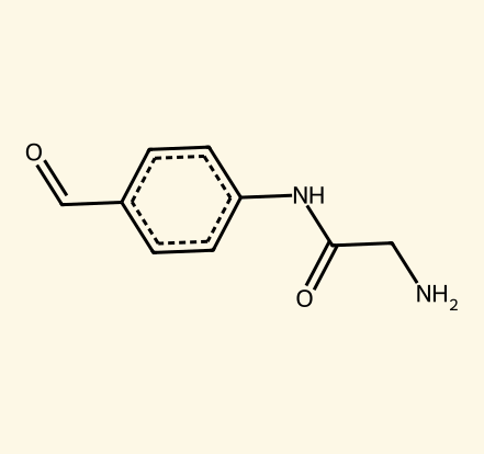 NCC(=O)Nc1ccc(C=O)cc1